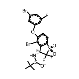 CC(C)(C)[S+]([O-])N[C@@H]1c2c(ccc(Oc3cc(F)cc(Br)c3)c2Br)S(=O)(=O)C1(F)F